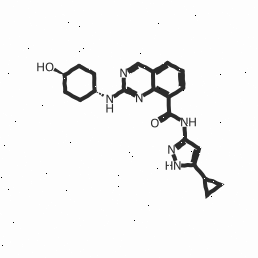 O=C(Nc1cc(C2CC2)[nH]n1)c1cccc2cnc(N[C@H]3CC[C@H](O)CC3)nc12